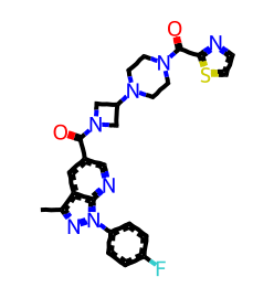 Cc1nn(-c2ccc(F)cc2)c2ncc(C(=O)N3CC(N4CCN(C(=O)c5nccs5)CC4)C3)cc12